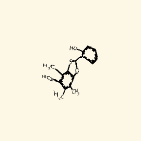 Cc1c(C)c2c(c(C)c1O)SC(c1ccccc1O)O2